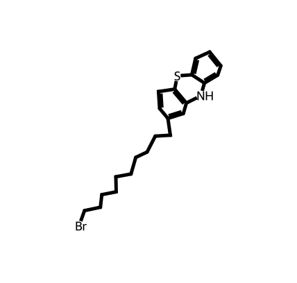 BrCCCCCCCCCCc1ccc2c(c1)Nc1ccccc1S2